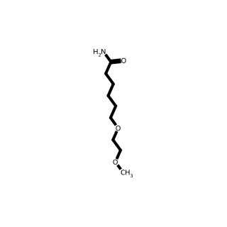 COCCOCCCCCC(N)=O